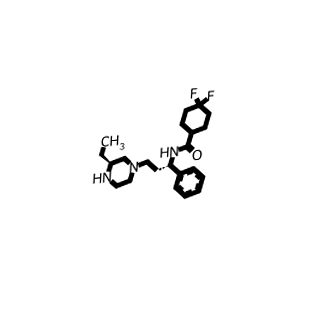 CC[C@H]1CN(CC[C@H](NC(=O)C2CCC(F)(F)CC2)c2ccccc2)CCN1